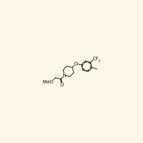 COCC(=O)N1CCC(Oc2ccc(C)c(C(F)(F)F)c2)CC1